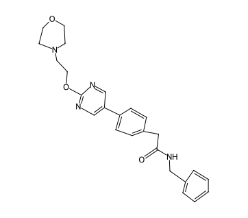 O=C(Cc1ccc(-c2cnc(OCCN3CCOCC3)nc2)cc1)NCc1ccccc1